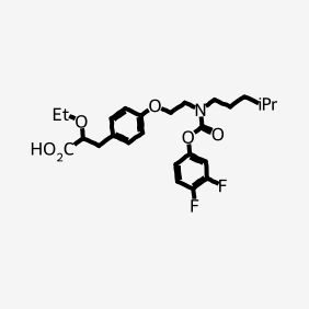 CCOC(Cc1ccc(OCCN(CCCC(C)C)C(=O)Oc2ccc(F)c(F)c2)cc1)C(=O)O